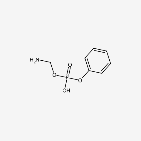 NCOP(=O)(O)Oc1ccccc1